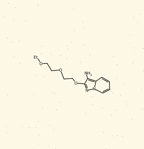 CCOCCOCCOc1nn2ccccc2c1N